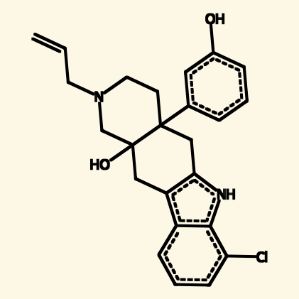 C=CCN1CCC2(c3cccc(O)c3)Cc3[nH]c4c(Cl)cccc4c3CC2(O)C1